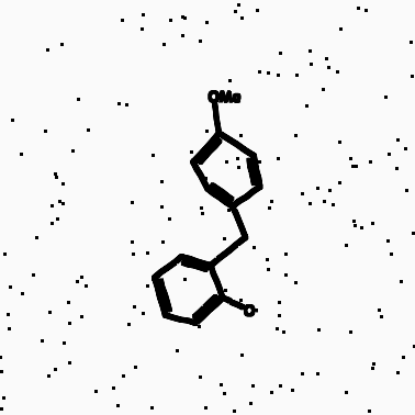 COc1ccc(Cc2ccccc2[O])cc1